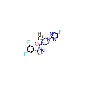 C[C@H]1CN(c2ncc(F)cn2)CCN1C(=O)N1N=CC[C@@H]1c1cc(F)cc(F)c1